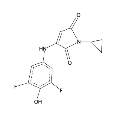 O=C1C=C(Nc2cc(F)c(O)c(F)c2)C(=O)N1C1CC1